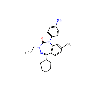 CCOC(=O)CN1N=C(C2CCCCC2)c2ccc(C)cc2N(c2ccc(N)cc2)C1=O